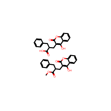 COC(=O)C(Cc1ccccc1)Cc1c(O)c2ccccc2oc1=O.O=C(O)C(Cc1ccccc1)Cc1c(O)c2ccccc2oc1=O